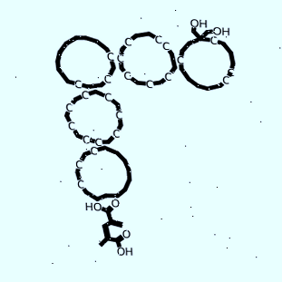 C1CCCCCCCCCCCCCC1.C1CCCCCCCCCCCCCC1.C1CCCCCCCCCCCCCC1.C1CCCCCCCCCCCCCC1.C=C(C=C(C)C(=O)O)C(=O)O.OCC1(CO)CCCCCCCCCCCCCC1